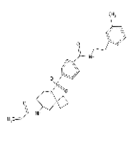 C=CC(=O)NC1CCN(S(=O)(=O)c2ccc(C(=O)NCCc3cccc(C)c3)cc2)C2(CCC2)C1